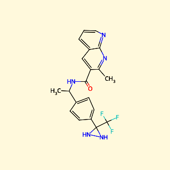 Cc1nc2ncccc2cc1C(=O)NC(C)c1ccc(C2(C(F)(F)F)NN2)cc1